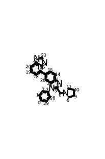 c1ccc(-n2c(CN3CCCC3)nc3ccc(-c4cccc5ncnn45)cc32)cc1